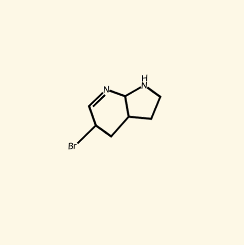 BrC1C=NC2NCCC2C1